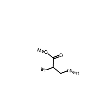 CCCCCCC(C(=O)OC)C(C)C